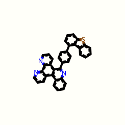 c1ccc2c(c1)nc(-c1ccc(-c3cccc4sc5ccccc5c34)cc1)c1c3cccnc3c3ncccc3c21